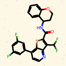 O=C(NC1CCOc2ccccc21)c1sc2c(-c3cc(F)cc(F)c3)ccnc2c1C(F)F